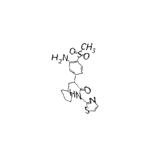 CS(=O)(=O)c1ccc(C(CC2CCCC2)C(=O)Nc2nccs2)cc1N